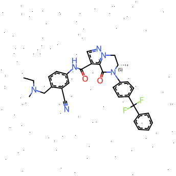 CCN(C)Cc1ccc(NC(=O)c2cnn3c2C(=O)N(c2ccc(C(F)(F)c4ccccc4)cc2)[C@@H](C)C3)cc1C#N